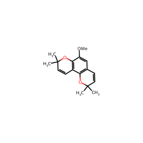 COc1cc2c(c3c1OC(C)(C)C=C3)OC(C)(C)C=C2